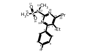 [CH2]Cc1c(-c2ccc(F)cc2)nc(N(C)S(C)(=O)=O)nc1C(C)C